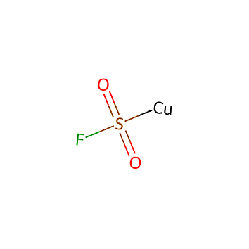 O=[S](=O)(F)[Cu]